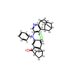 O=C1c2cc(N(c3ccccc3)c3cnc4c(c3Cl)C3CC5CC(CC4C5)C3)c(Cl)cc2C2CCC1CC2